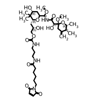 C=C1C[C@](OC)([C@H](O)C(=O)N[C@@H](OC)C2C[C@@H](O)C(C)(C)[C@@H](C[C@H](O)COC(=O)NCCCNC(=O)CCCCCN3C(=O)C=CC3=O)O2)O[C@H](C)[C@@H]1C